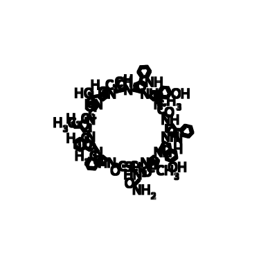 CCCC[C@H]1C(=O)N(C)CC(=O)NC(CC(=O)O)C(=O)N[C@@H](C(C)C)C(=O)N[C@@H](Cc2c[nH]c3ccccc23)C(=O)N[C@@H](Cc2ccc(O)cc2)C(=O)N(C)CC(=O)N[C@@H](Cc2c[nH]c3ccccc23)C(=O)N[C@@H](Cc2ccc(O)cc2)C(=O)N[C@@H](CC(C)C)C(=O)N[C@H](C(=O)NCC(N)=O)CSCC(=O)N[C@@H](Cc2ccccc2)C(=O)N(C)[C@@H](Cc2ccccc2)C(=O)N1C